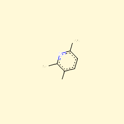 COc1ccc(C(F)(F)F)c(C#N)n1